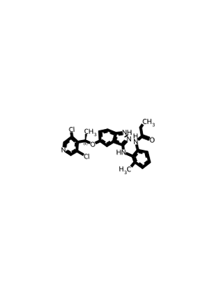 CCC(=O)Nc1cccc(C)c1Nc1n[nH]c2ccc(O[C@H](C)c3c(Cl)cncc3Cl)cc12